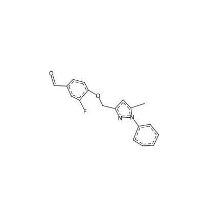 Cc1cc(COc2ccc(C=O)cc2F)nn1-c1ccccc1